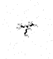 CC(C)COC(OCC(C)C)[SiH2]CCCN